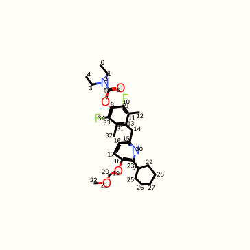 CCN(CC)C(=O)Oc1c(F)c(C)c(Cc2ccc(OCOC)c(C3CCCCC3)n2)c(C)c1F